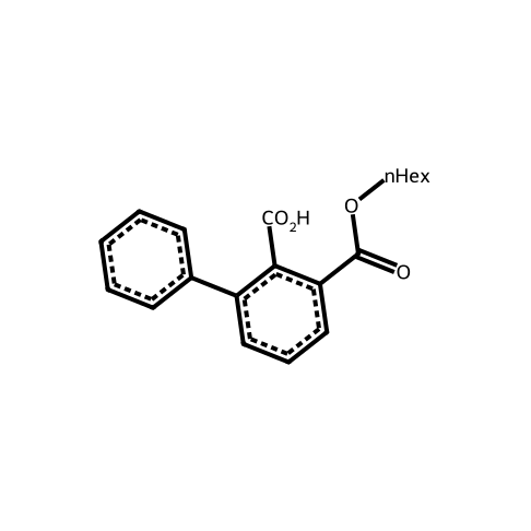 CCCCCCOC(=O)c1cccc(-c2ccccc2)c1C(=O)O